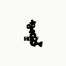 CC(C)(C)OC(=O)N1CC2(CC[C@](O)(c3cccc(C4CC4)c3F)C2)C1